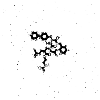 CC(=O)NCCOC(=O)C(CCC(C)C)CN(CC(C)C)C(=O)N[C@@H](Cc1ccc(-c2ccccc2)cc1)C(=O)OCc1ccccc1